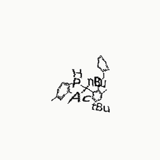 CCCCC(C)(Pc1ccc(C)cc1C(C)=O)c1cc(C(C)(C)C)cc(C)c1OCc1ccccc1